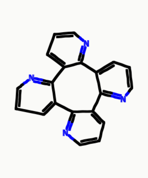 c1cnc2c(c1)-c1ncccc1-c1ncccc1-c1ncccc1-2